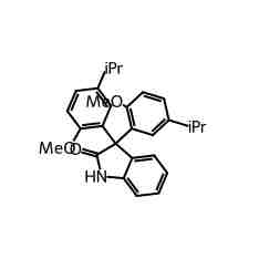 COc1ccc(C(C)C)cc1C1(c2cc(C(C)C)ccc2OC)C(=O)Nc2ccccc21